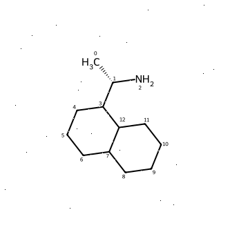 C[C@H](N)C1CCCC2CCCCC21